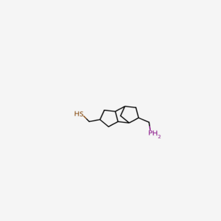 PCC1CC2CC1C1CC(CS)CC21